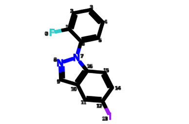 Fc1ccccc1-n1ncc2cc(I)ccc21